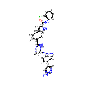 O=C(Nc1ccccc1Cl)c1cc2ccc(-c3nccc(Nc4ccc(-c5cn[nH]c5)cc4)n3)cc2[nH]1